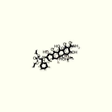 CCOP(=O)(OCC)C(Nc1ccc2c(c1O)C(=O)C1=C(O)[C@]3(O)C(=O)C(C(N)=O)=C(O)[C@@H](N(C)C)[C@@H]3[C@@H](O)[C@@H]1[C@@H]2C)c1ccccc1